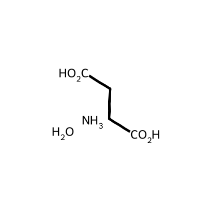 N.O.O=C(O)CCC(=O)O